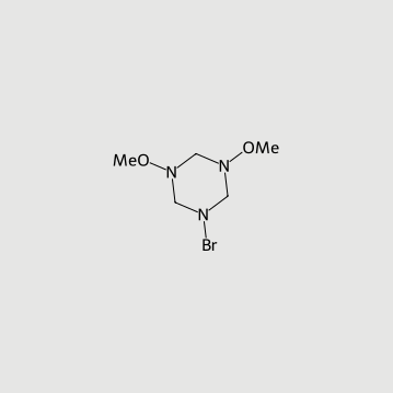 CON1CN(Br)CN(OC)C1